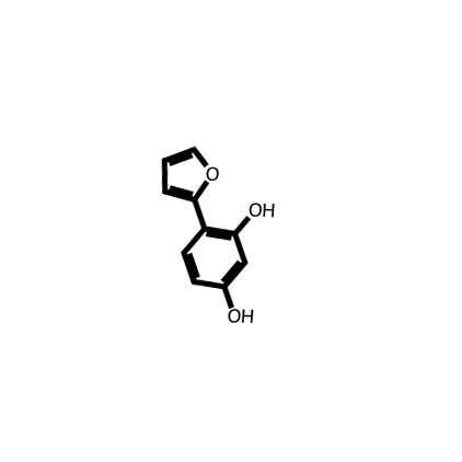 Oc1ccc(-c2ccco2)c(O)c1